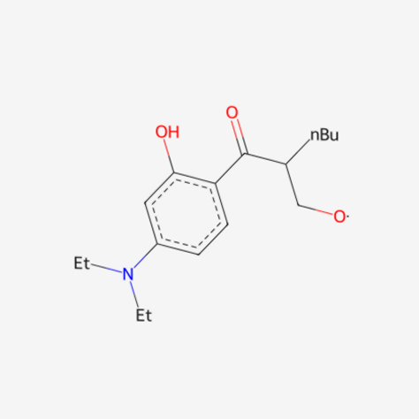 CCCCC(C[O])C(=O)c1ccc(N(CC)CC)cc1O